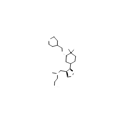 CNCCN(C)Cc1c[nH]nc1C1CCC(C)(C)[C@H](OCC2CCOCC2)C1